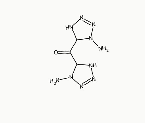 NN1N=NNC1C(=O)C1NN=NN1N